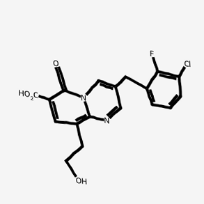 O=C(O)c1cc(CCO)c2ncc(Cc3cccc(Cl)c3F)cn2c1=O